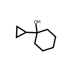 OC1(C2CC2)CCCCC1